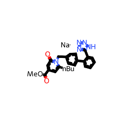 CCCCc1cc(C(=O)OC)cc(=O)n1Cc1ccc(-c2ccccc2-c2nnn[nH]2)cc1.[Na]